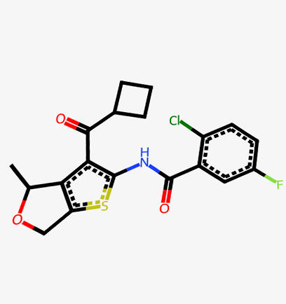 CC1OCc2sc(NC(=O)c3cc(F)ccc3Cl)c(C(=O)C3CCC3)c21